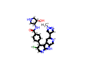 Cn1cc(-c2cc3c(cn2)[nH]c2ncc(F)c(-c4ccc(C(=O)N[C@H]5CNC[C@H]5O)cc4)c23)cn1